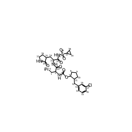 CC(C)CC(NC(=O)OC1CCCC1Cc1cccc(Cl)c1)C(=O)NC(CC1CCNC1=O)C(=O)NS(=O)(=O)C1CC1